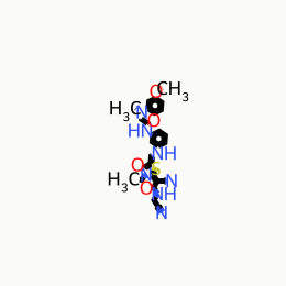 CCn1c(=C(C#N)C(=O)NCC#N)sc(=CNc2cccc(NC(=O)CN(C)c3cccc(OC)c3)c2)c1=O